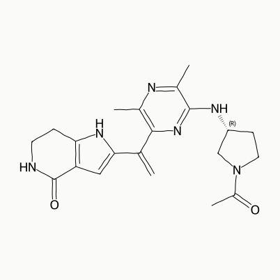 C=C(c1cc2c([nH]1)CCNC2=O)c1nc(N[C@@H]2CCN(C(C)=O)C2)c(C)nc1C